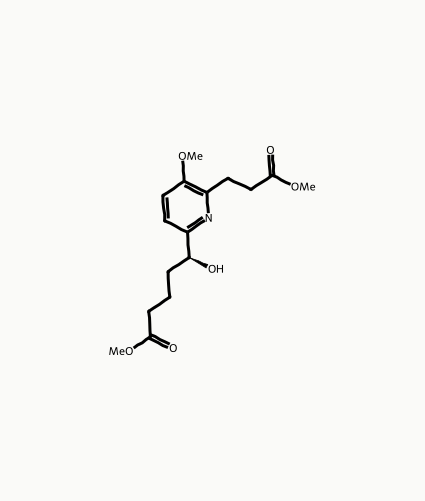 COC(=O)CCC[C@H](O)c1ccc(OC)c(CCC(=O)OC)n1